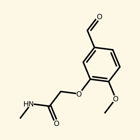 CNC(=O)COc1cc(C=O)ccc1OC